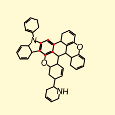 C1=CCCC(N2C3C=CC=CC3C3C=CC(C4CC=CC5=C4C(C4C6C=CC=CC6OC6CC(C7CC=CCN7)C=CC64)C4CC=CC=C4O5)=CC32)=C1